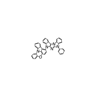 c1ccc(-n2c3ccccc3n3c4c5ccccc5n(-c5ccc6c7c5c5ccccc5n7-c5ccccc5O6)c4nc23)cc1